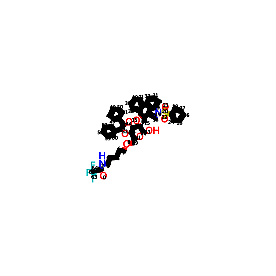 O=C(NCCCCCOC[C@H]1O[C@@H](O)[C@](CCc2cn(S(=O)(=O)c3ccccc3)c3ccccc23)(OCc2ccccc2)[C@@H](OCc2ccccc2)[C@@H]1OCc1ccccc1)C(F)(F)F